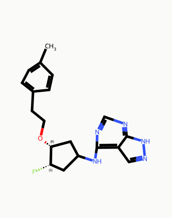 Cc1ccc(CCO[C@@H]2CC(Nc3ncnc4[nH]ncc34)C[C@@H]2F)cc1